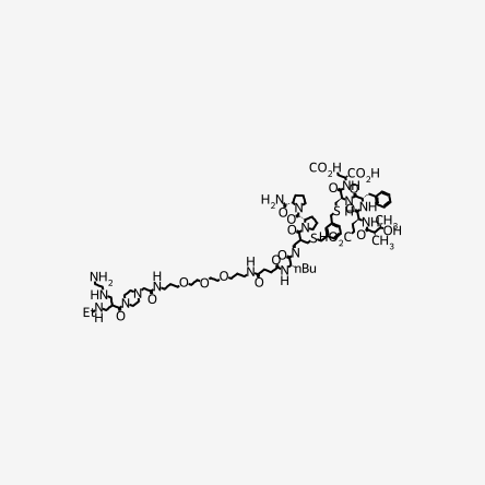 CCCC[C@H](NC(=O)CCC(=O)NCCCOCCOCCOCCCNC(=O)CN1CCN(C(=O)C(CNCC)CNCCN)CC1)C(=O)N=CC(CSCc1cccc(CSC[C@H](NC(=O)[C@H](Cc2ccccc2)NC(=O)[C@H](CCC(=O)O)NC(=O)[C@@H](C)[C@@H](C)O)C(=O)N[C@@H](CC(=O)O)C(=O)O)c1)C(=O)N1CCC[C@H]1C(=O)N1CCC[C@H]1C(N)=O